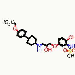 CS(=O)(=O)Nc1cc(OC[C@@H](O)CNC2CCC(c3ccc(OCC(=O)O)cc3)CC2)ccc1O